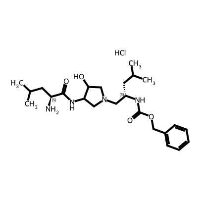 CC(C)C[C@@H](CN1CC(O)C(NC(=O)[C@@H](N)CC(C)C)C1)NC(=O)OCc1ccccc1.Cl